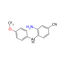 N#Cc1ccc([AsH]c2ccc(OC(F)(F)F)cc2)c(N)c1